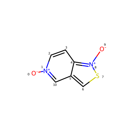 [O-][n+]1ccc2c(cs[n+]2[O-])c1